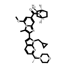 COc1cc(C(=O)N2[C@H]3CC[C@@H]2[C@H](N)C3)cc2nc(-c3cc4ccc([C@@H](C)N5CCOCC5)nc4n3CC3CC3)c(C)n12